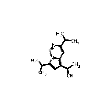 CC(C)c1cc2c(C(C)C)cc(C(C)C)n2nn1